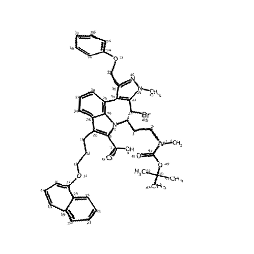 CN(CCCn1c(C(=O)O)c(CCCOc2cccc3ccccc23)c2cccc(-c3c(COc4ccccc4)nn(C)c3CBr)c21)C(=O)OC(C)(C)C